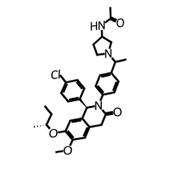 CC[C@@H](C)Oc1cc2c(cc1OC)CC(=O)N(c1ccc(C(C)N3CCC(NC(C)=O)C3)cc1)[C@@H]2c1ccc(Cl)cc1